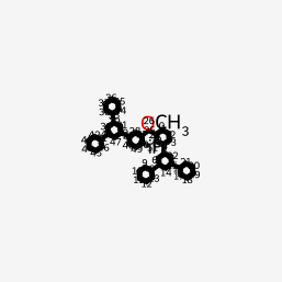 Cc1ccc(-c2cc(-c3ccccc3)cc(-c3ccccc3)c2)cc1C(=O)c1cc(-c2cc(-c3ccccc3)cc(-c3ccccc3)c2)ccc1C(C)C